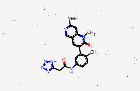 CNc1cc2c(cn1)cc(-c1cc(NC(=O)Cc3nnn[nH]3)ccc1C)c(=O)n2C